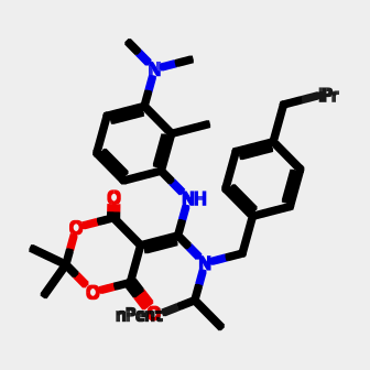 CCCCCC(C)N(Cc1ccc(CC(C)C)cc1)C(Nc1cccc(N(C)C)c1C)=C1C(=O)OC(C)(C)OC1=O